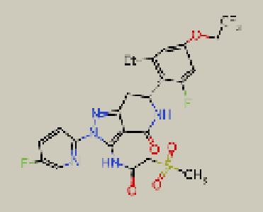 CCc1cc(OCC(F)(F)F)cc(F)c1[C@H]1Cc2nn(-c3ccc(F)cn3)c(NC(=O)CS(C)(=O)=O)c2C(=O)N1